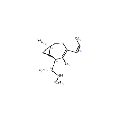 C/C=C\C1=C(C)[C@@H]([C@@H](C)NC)C2C[C@H]2CC1